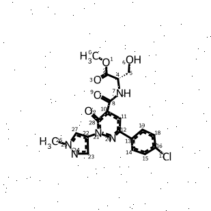 COC(=O)[C@H](CO)NC(=O)c1cc(-c2ccc(Cl)cc2)nn(-c2cnn(C)c2)c1=O